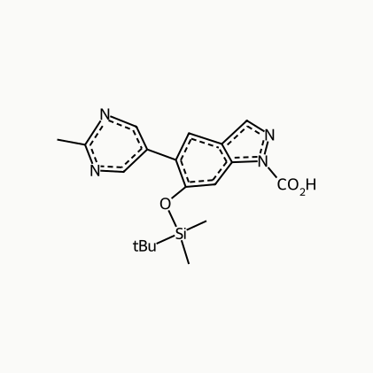 Cc1ncc(-c2cc3cnn(C(=O)O)c3cc2O[Si](C)(C)C(C)(C)C)cn1